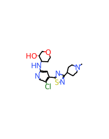 CN1CCC(c2nsc(-c3cc(N[C@@H]4CCOC[C@H]4O)ncc3Cl)n2)CC1